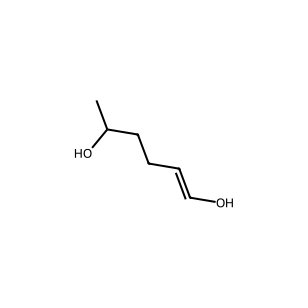 CC(O)CC/C=C/O